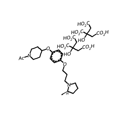 CC(=O)N1CCC(Oc2ccc(OCCCN3CCC[C@H]3C)cc2)CC1.O=C(O)CC(O)(CC(=O)O)C(=O)O.O=C(O)CC(O)(CC(=O)O)C(=O)O